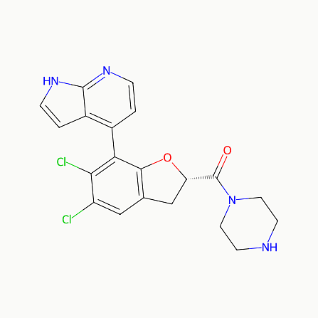 O=C([C@@H]1Cc2cc(Cl)c(Cl)c(-c3ccnc4[nH]ccc34)c2O1)N1CCNCC1